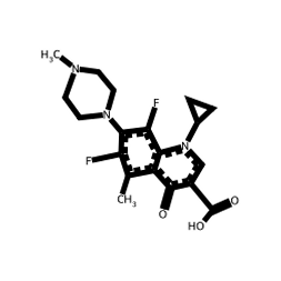 Cc1c(F)c(N2CCN(C)CC2)c(F)c2c1c(=O)c(C(=O)O)cn2C1CC1